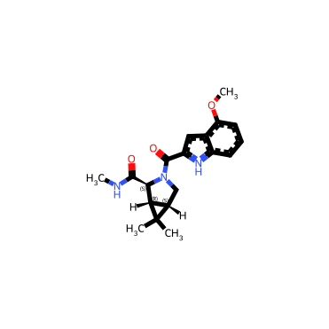 CNC(=O)[C@@H]1[C@@H]2[C@H](CN1C(=O)c1cc3c(OC)cccc3[nH]1)C2(C)C